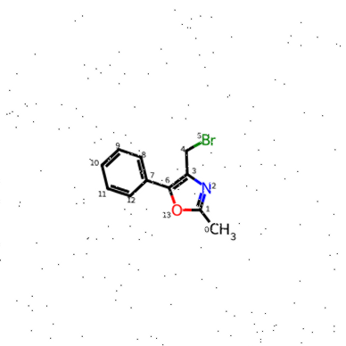 Cc1nc(CBr)c(-c2ccccc2)o1